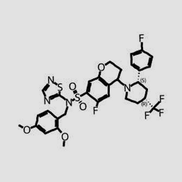 COc1ccc(CN(c2ncns2)S(=O)(=O)c2cc3c(cc2F)C(N2CC[C@@H](C(F)(F)F)C[C@H]2c2ccc(F)cc2)CCO3)c(OC)c1